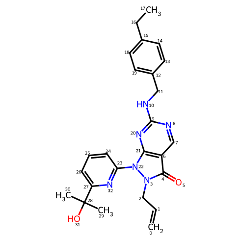 C=CCn1c(=O)c2cnc(NCc3ccc(CC)cc3)nc2n1-c1cccc(C(C)(C)O)n1